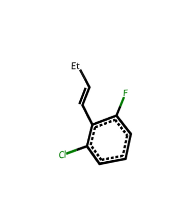 CC/C=C/c1c(F)cccc1Cl